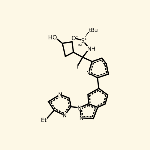 CCc1cncc(-n2ncc3ccc(-c4cccc(C(I)(N[S@+]([O-])C(C)(C)C)C5CC(O)C5)n4)cc32)n1